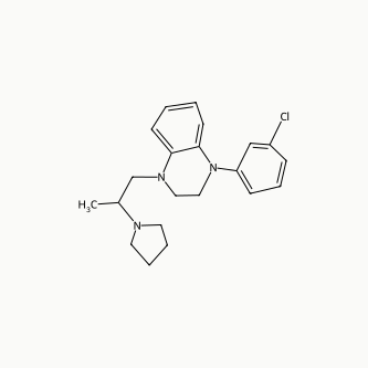 CC(CN1CCN(c2cccc(Cl)c2)c2ccccc21)N1CCCC1